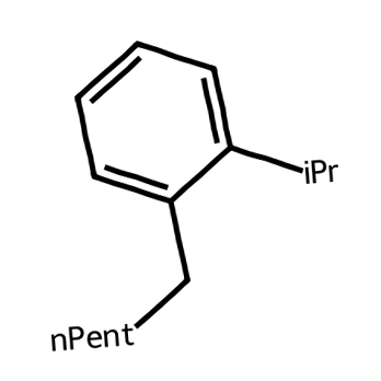 CCCCCCc1ccccc1C(C)C